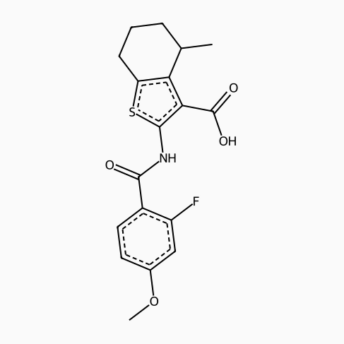 COc1ccc(C(=O)Nc2sc3c(c2C(=O)O)C(C)CCC3)c(F)c1